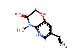 C=Cc1cnc2c(c1)OCC(=O)N2C